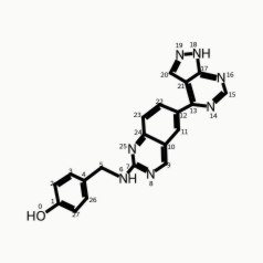 Oc1ccc(CNc2ncc3cc(-c4ncnc5[nH]ncc45)ccc3n2)cc1